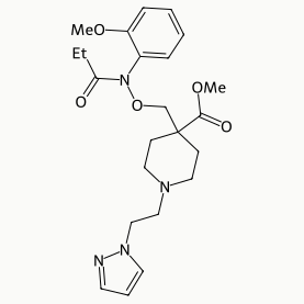 CCC(=O)N(OCC1(C(=O)OC)CCN(CCn2cccn2)CC1)c1ccccc1OC